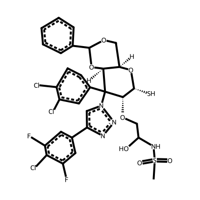 CS(=O)(=O)NC(O)CO[C@H]1[C@@H](S)O[C@@H]2COC(c3ccccc3)O[C@@H]2C1(c1ccc(Cl)c(Cl)c1)n1cc(-c2cc(F)c(Cl)c(F)c2)nn1